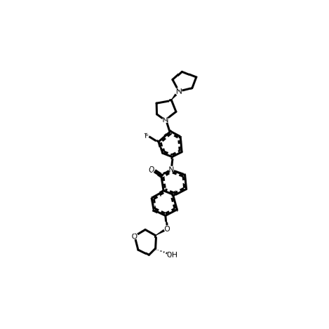 O=c1c2ccc(O[C@@H]3COCC[C@H]3O)cc2ccn1-c1ccc(N2CC[C@@H](N3CCCC3)C2)c(F)c1